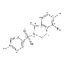 Cc1ccc(S(=O)(=O)N2CCc3c(ccc(F)c3F)C2C)cc1